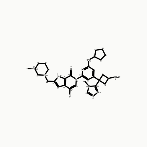 COC1CC(c2cc(NC3CCCC3)nc(-n3cc(Cl)c4cc(CN5CCC[C@H](C)C5)[nH]c4c3=O)c2)(c2nncn2C)C1